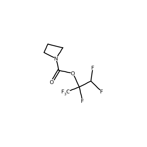 O=C(OC(F)(C(F)F)C(F)(F)F)N1CCC1